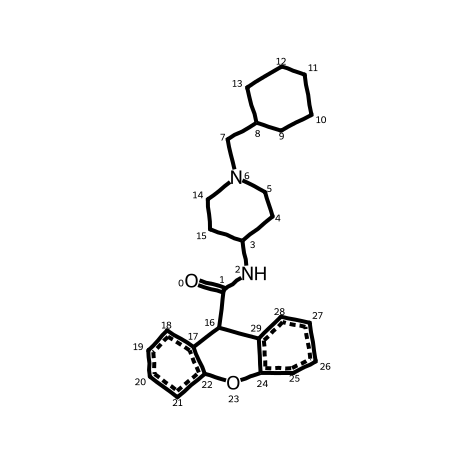 O=C(NC1CCN(CC2CCCCC2)CC1)C1c2ccccc2Oc2ccccc21